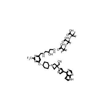 N#CCC1(n2cc(-c3ncnc4[nH]ccc34)cn2)CN([C@H]2CC[C@@H](Oc3cc(CNCC(O)CO)nc(C(F)(F)F)n3)CC2)C1.O=C(O)C(F)(F)F.O=C(O)C(F)(F)F.O=C(O)C(F)(F)F